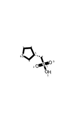 O=S(=O)(O)C[C@H]1CCSC1